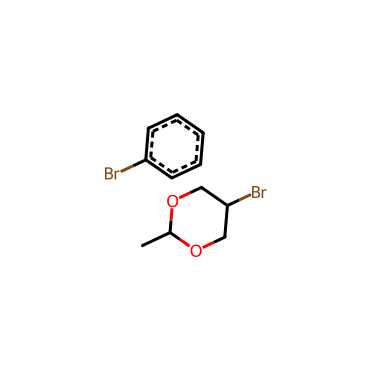 Brc1ccccc1.CC1OCC(Br)CO1